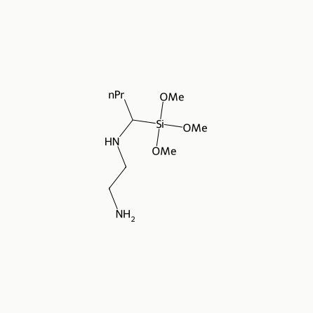 CCCC(NCCN)[Si](OC)(OC)OC